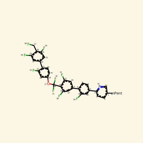 CCCCCc1ccc(-c2ccc(-c3cc(F)c(C(F)(F)Oc4ccc(-c5cc(F)c(CF)c(F)c5)c(F)c4)c(F)c3)c(F)c2)nc1